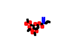 CCCNC(=O)O[C@H]1C[C@@H](OC(C)=O)C(OC(C)=O)[C@@H](COC(C)=O)O1